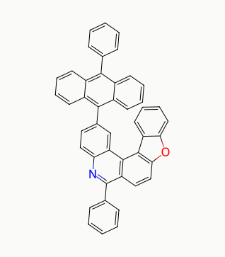 c1ccc(-c2c3ccccc3c(-c3ccc4nc(-c5ccccc5)c5ccc6oc7ccccc7c6c5c4c3)c3ccccc23)cc1